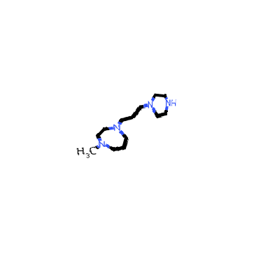 CN1CCCN(CCCN2CCNCC2)CC1